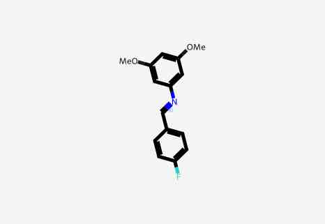 COc1cc(/N=C/c2ccc(F)cc2)cc(OC)c1